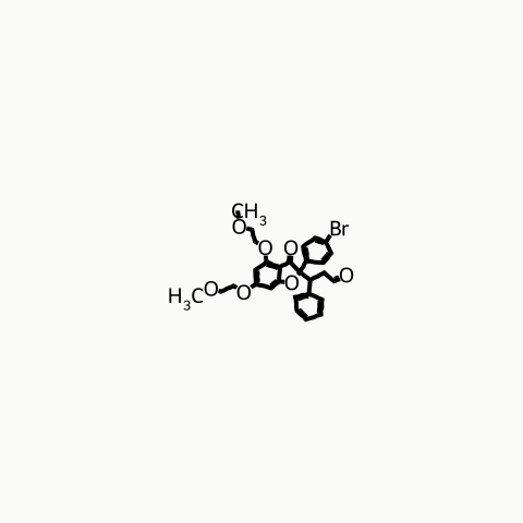 COCCOc1cc(OCCOC)c2c(c1)OC(c1ccc(Br)cc1)(C(CC=O)c1ccccc1)C2=O